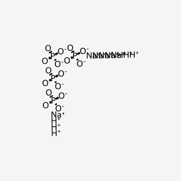 O=P([O-])([O-])[O-].O=P([O-])([O-])[O-].O=P([O-])([O-])[O-].O=P([O-])([O-])[O-].[H+].[H+].[H+].[H+].[H+].[H+].[Na+].[Na+].[Na+].[Na+].[Na+].[Na+]